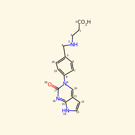 O=C(O)CCNCc1ccc(-n2cc3cc[nH]c3nc2=O)cc1